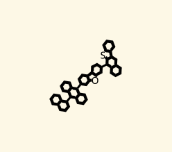 c1ccc2c(-c3c4ccccc4c(-c4ccc5c(c4)oc4cc(-c6c7ccccc7cc7c6sc6ccccc67)ccc45)c4ccccc34)cccc2c1